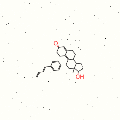 C=C/C=C/c1ccc([C@H]2CC3(C)C(O)CCC3C3CCC4=CC(=O)CCC4=C32)cc1